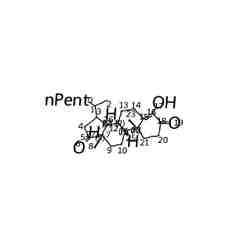 CCCCCC(C)C1CC(=O)[C@@]2(C)CC[C@@H]3[C@@H](CCC4=C(O)C(=O)CC[C@@]43C)[C@H]12